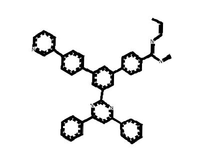 C=N/C(=N\C=C/C)c1ccc(-c2cc(-c3ccc(-c4cccnc4)cc3)cc(-c3nc(-c4ccccc4)cc(-c4ccccc4)n3)c2)cc1